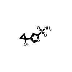 NS(=O)(=O)c1cc(C2(O)CC2)cs1